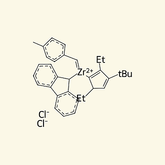 CCC1=[C](/[Zr+2](=[CH]/c2ccc(C)cc2)[CH]2c3ccccc3-c3ccccc32)C(CC)C=C1C(C)(C)C.[Cl-].[Cl-]